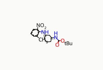 Cc1cccc([N+](=O)[O-])c1N[C@H]1CCC[C@H](NC(=O)OC(C)(C)C)C1